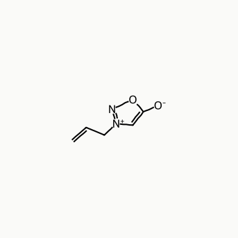 C=CC[n+]1cc([O-])on1